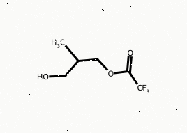 CC(CO)COC(=O)C(F)(F)F